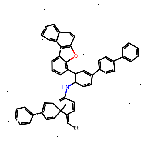 C=C(/C=C\C(=C/CC)C1(C)C=CC(c2ccccc2)=CC1)NC1C=CC(c2ccc(-c3ccccc3)cc2)=CC1c1cccc2c1oc1ccc3ccccc3c12